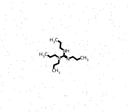 CCC/N=C(\NCCC)N(CCC)CCC